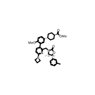 COc1ccc([C@H]2CC[C@H](C(=O)OC)CC2)cc1-c1ccc(N2CCC2)nc1CN1C(=O)O[C@H](c2cccc(C)c2)[C@@H]1C